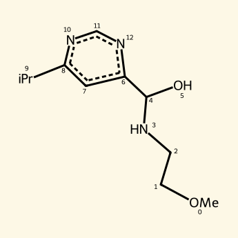 COCCNC(O)c1cc(C(C)C)ncn1